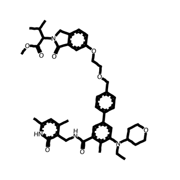 CCN(c1cc(-c2ccc(COCCOc3ccc4c(c3)C(=O)N(C(C(=O)OC)C(C)C)C4)cc2)cc(C(=O)NCc2c(C)cc(C)[nH]c2=O)c1C)C1CCOCC1